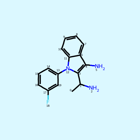 CC(N)c1c(N)c2ccccc2n1-c1cccc(F)c1